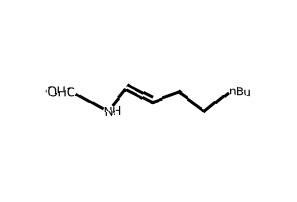 CCCCCCC=CN[C]=O